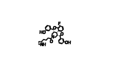 Cc1c(F)cccc1[C@H]1[C@@H](C(=O)c2cccc(O)c2)CN(C(=O)CCCC2CCN2)C[C@H]1C(=O)c1cccc(O)c1